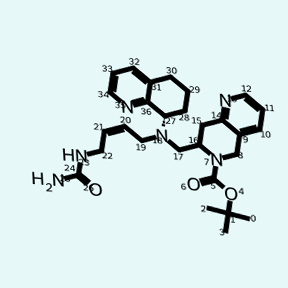 CC(C)(C)OC(=O)N1Cc2cccnc2CC1CN(C/C=C\CNC(N)=O)[C@H]1CCCc2cccnc21